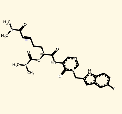 CN(C)C(=O)/C=C/CC[C@H](OC(=O)N(C)C)C(=O)Nc1cncn(Cc2cc3cc(F)ccc3[nH]2)c1=O